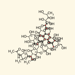 CC(=O)NC1C(O)[C@H](O[C@@H]2OC(CO)[C@H](O)C(O)[C@@H]2O)[C@H](CO)O[C@H]1O[C@@H]1C(O)[C@H](O)C(CO)O[C@@H]1OCC1O[C@@H](O[C@@H]2C(CO)O[C@@H](O[C@@H]3C(CO)O[C@@H](C)[C@@H](NC(C)=O)C3O)C(NC(C)=O)[C@H]2O)[C@H](O)C(O[C@H]2O[C@H](CO)[C@@H](O)C(O)C2O[C@@H]2OC(CO)[C@@H](OOC[C@@H](O)C(O)[C@@H](O)C(C)CO)[C@H](O)C2NC(C)=O)[C@@H]1O